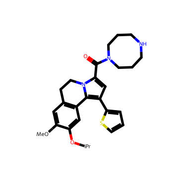 COc1cc2c(cc1OC(C)C)-c1c(-c3cccs3)cc(C(=O)N3CCCNCCC3)n1CC2